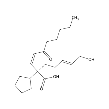 CCCCCC(=O)/C=C\[C@@](CC/C=C/CO)(C(=O)O)C1CCCC1